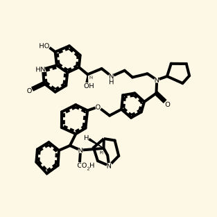 O=C(c1ccc(COc2cccc(C(c3ccccc3)N(C(=O)O)[C@H]3CN4CCC3CC4)c2)cc1)N(CCCNC[C@@H](O)c1ccc(O)c2[nH]c(=O)ccc12)C1CCCC1